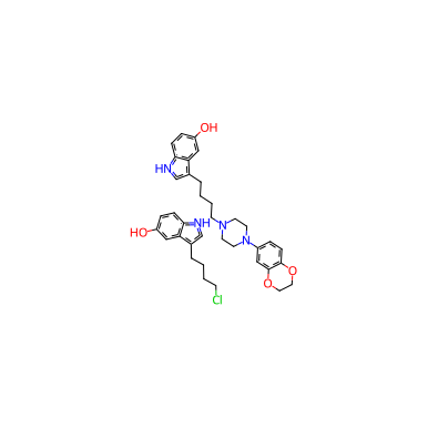 Oc1ccc2[nH]cc(CCCCCl)c2c1.Oc1ccc2[nH]cc(CCCCN3CCN(c4ccc5c(c4)OCCO5)CC3)c2c1